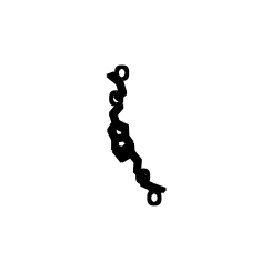 C1=C(CCOCC2CO2)CC2C3C=C(CCOCC4CO4)C(C3)C12